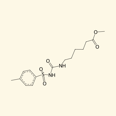 COC(=O)CCCCCNC(=O)NS(=O)(=O)c1ccc(C)cc1